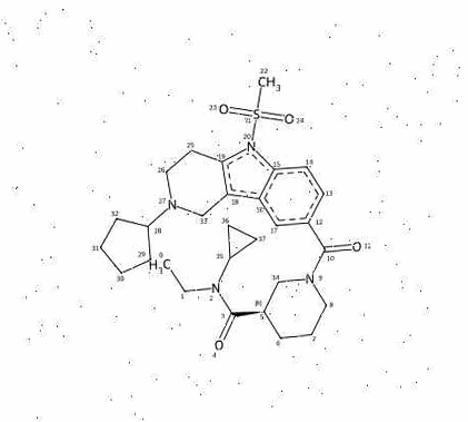 CCN(C(=O)[C@@H]1CCCN(C(=O)c2ccc3c(c2)c2c(n3S(C)(=O)=O)CCN(C3CCCC3)C2)C1)C1CC1